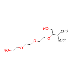 CCCCCCCCC(C=O)C(CO)OCCOCCOCCO